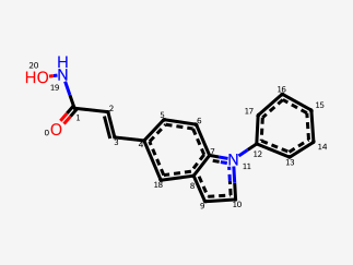 O=C(C=Cc1ccc2c(ccn2-c2ccccc2)c1)NO